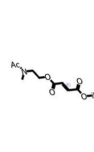 CC(=O)N(C)CCOC(=O)/C=C/C(=O)OC(C)C